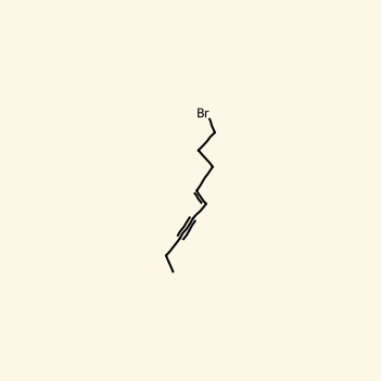 CCC#CC=CCCCBr